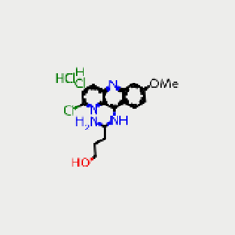 COc1ccc2c(NC(N)CCCO)c3nc(Cl)ccc3nc2c1.Cl.Cl